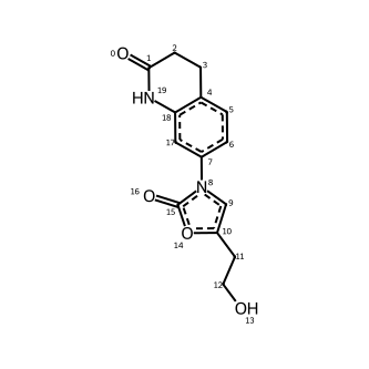 O=C1CCc2ccc(-n3cc(CCO)oc3=O)cc2N1